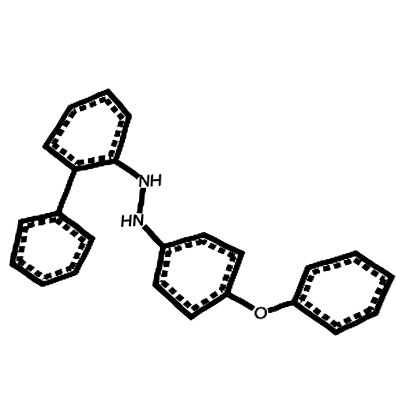 c1ccc(Oc2ccc(NNc3ccccc3-c3ccccc3)cc2)cc1